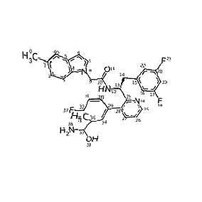 Cc1ccc2c(ccn2CC(=O)N[C@@H](Cc2cc(F)cc(F)c2)c2ncccc2C(/C=C\CF)=C/C(C)C(N)O)c1